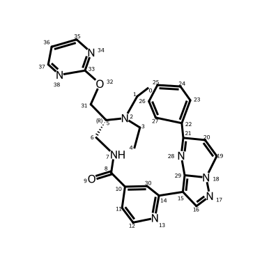 CCN(CC)[C@H](CNC(=O)c1ccnc(-c2cnn3ccc(-c4ccccc4)nc23)c1)COc1ncccn1